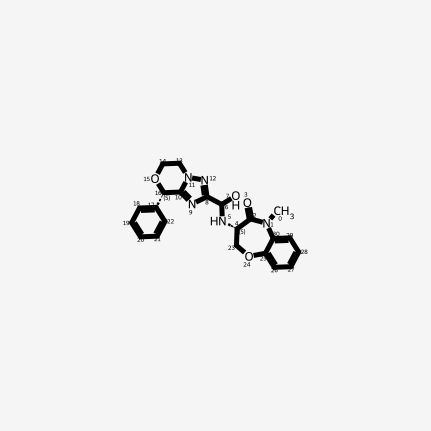 CN1C(=O)[C@@H](NC(O)c2nc3n(n2)CCO[C@H]3c2ccccc2)COc2ccccc21